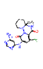 CC12CCCCN1n1c(c(Cl)cc(Nc3cc(N)ncn3)c1=O)C(=O)N2